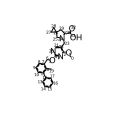 COc1nc(OCc2cccc(-c3ccccc3)c2C)ncc1CN1CC2(CC2)C[C@H]1C(=O)O